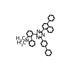 C[Si]1(C)c2ccccc2-c2c(-c3nc(-c4ccc(-c5ccccc5)cc4)nc(-c4ccc(-c5ccccc5)c5ccccc45)n3)cccc21